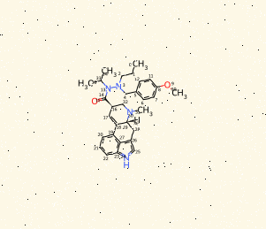 CCCN(Cc1ccc(OC)cc1)N(C(=O)[C@@H]1C=C2c3cccc4[nH]cc(c34)C[C@H]2N(C)C1)C(C)C